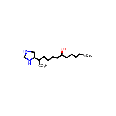 CCCCCCCCCCCCCCC(O)CCCCC(C(=O)O)C1CNCN1